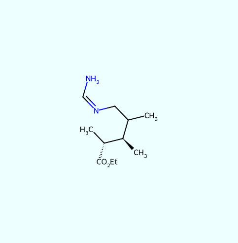 CCOC(=O)[C@H](C)[C@H](C)C(C)C/N=C\N